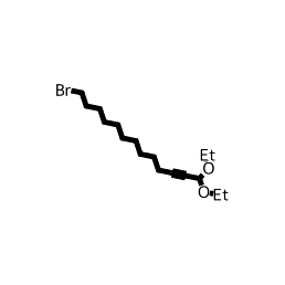 CCOC(C#CCCCCCCCCCCBr)OCC